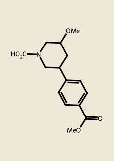 COC(=O)c1ccc(C2CC(OC)CN(C(=O)O)C2)cc1